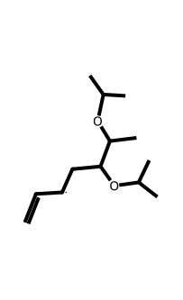 C=C[CH]CC(OC(C)C)C(C)OC(C)C